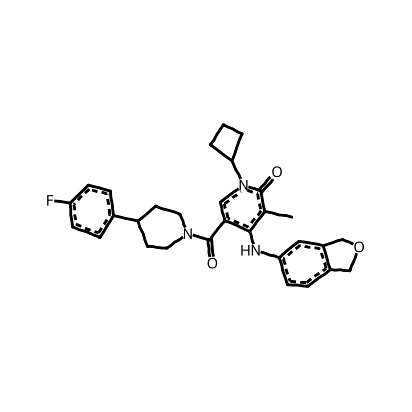 Cc1c(Nc2ccc3c(c2)COC3)c(C(=O)N2CCC(c3ccc(F)cc3)CC2)cn(C2CCC2)c1=O